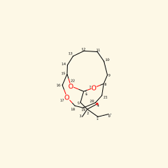 [CH2]CC(C)(C)C[C]1OC2CCCCCCC(COCCCC2)O1